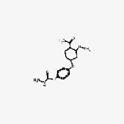 COC1CC(Oc2ccc(OC(=O)NN)cc2)CCN1C(C)=O